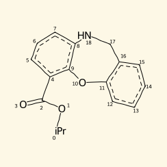 CC(C)OC(=O)c1cccc2c1Oc1ccccc1CN2